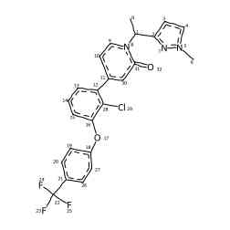 CC(c1ccn(C)n1)n1ccc(-c2cccc(Oc3ccc(C(F)(F)F)cc3)c2Cl)cc1=O